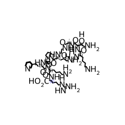 C[C@H](NC(=O)[C@@H](NC(=O)[C@@H](N)CCCCN)[C@@H](O)CN)C(=O)NCC(=O)N[C@H](CCCN)C(=O)N1CCC[C@H]1C(=O)N[C@@H](CCc1cccnc1)C(=O)N[C@@H](CCCCN)C(=O)N/C(=C\CCNC(=N)N)C(=O)O